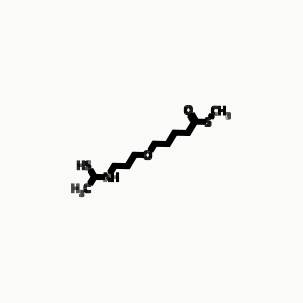 CSC(=O)CCCCOCCCNC(C)S